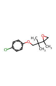 CC(C)(COc1ccc(Cl)cc1)C1(C)CO1